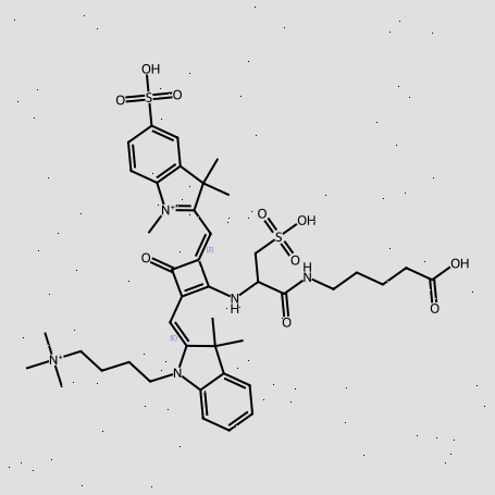 C[N+]1=C(/C=C2\C(=O)C(/C=C3/N(CCCC[N+](C)(C)C)c4ccccc4C3(C)C)=C2NC(CS(=O)(=O)O)C(=O)NCCCCC(=O)O)C(C)(C)c2cc(S(=O)(=O)O)ccc21